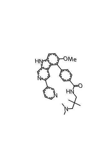 COc1ccc2[nH]c3cnc(-c4cccnc4)cc3c2c1-c1ccc(C(=O)NCC(C)(C)CN(C)C)cc1